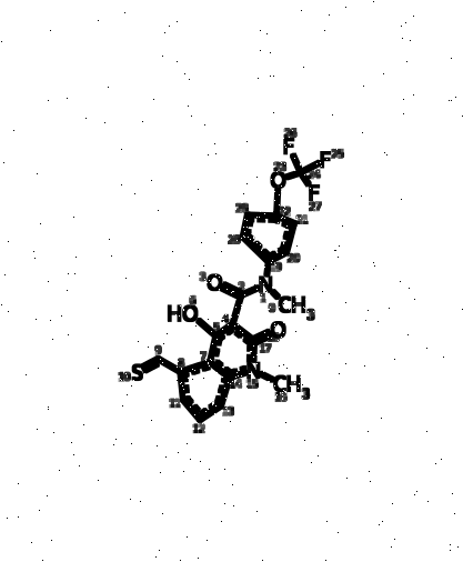 CN(C(=O)c1c(O)c2c(C=S)cccc2n(C)c1=O)c1ccc(OC(F)(F)F)cc1